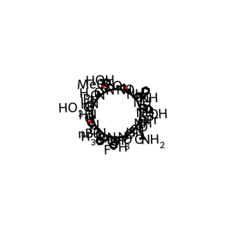 CCCC[C@H]1C(=O)N2CCC[C@@H]2C(=O)N[C@@H](CC(=O)O)C(=O)N[C@@H](C(C)C)C(=O)N(C)[C@@H](CCOC)C(=O)N[C@@H](Cc2ccc(O)cc2)C(=O)N2CCC[C@@H]2C(=O)N[C@@H](Cc2c[nH]c3ccccc23)C(=O)N[C@@H](Cc2ccc(O)cc2)C(=O)N[C@@H](CC(C)C)C(=O)N[C@H](C(=O)NCC(N)=O)CSCC(=O)N[C@@H](Cc2ccc(F)cc2)C(=O)N(C)[C@@H](Cc2ccccc2)C(=O)N1C